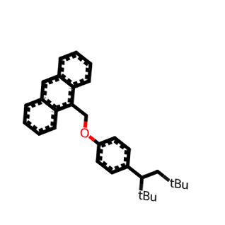 CC(C)(C)CC(c1ccc(OCc2c3ccccc3cc3ccccc23)cc1)C(C)(C)C